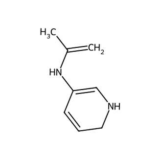 C=C(C)NC1=CNCC=C1